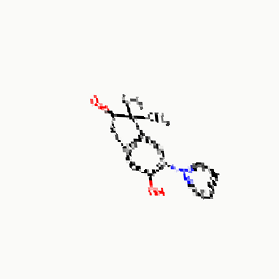 CC1(C)C(=O)Cc2cc(O)c(-n3cccc3)cc21